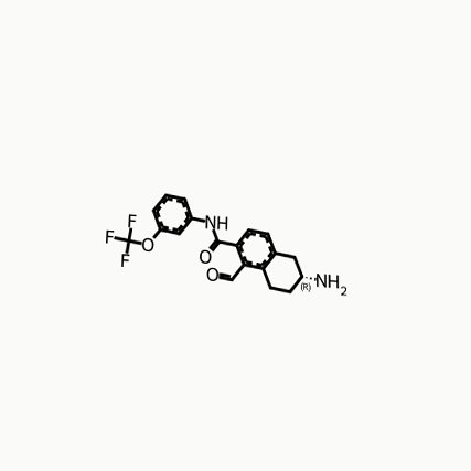 N[C@@H]1CCc2c(ccc(C(=O)Nc3cccc(OC(F)(F)F)c3)c2C=O)C1